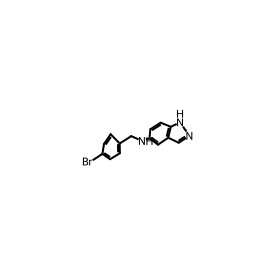 Brc1ccc(CNc2ccc3[nH]ncc3c2)cc1